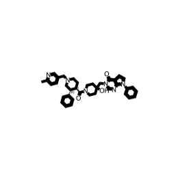 Cc1ccc(CN2CC[C@@H](C(=O)N3CCC(O)(Cn4cnc5c(ccn5-c5ccccc5)c4=O)CC3)[C@H](c3ccccc3)C2)cn1